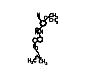 CCN(CC)CCO/N=C1/CCc2c1cccc2-c1noc(-c2ccc(OC(C)C)c(C#N)c2)n1